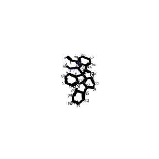 C=C/C=C\C(=C/I)C1(c2ccccc2)C(c2ccccc2)=Nc2ccc3c([nH]c4ccccc43)c21